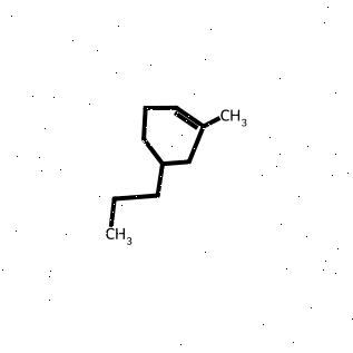 CCCC1CCC=C(C)C1